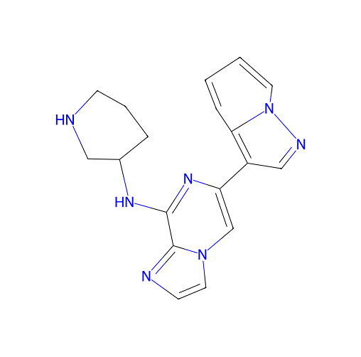 c1ccn2ncc(-c3cn4ccnc4c(NC4CCCNC4)n3)c2c1